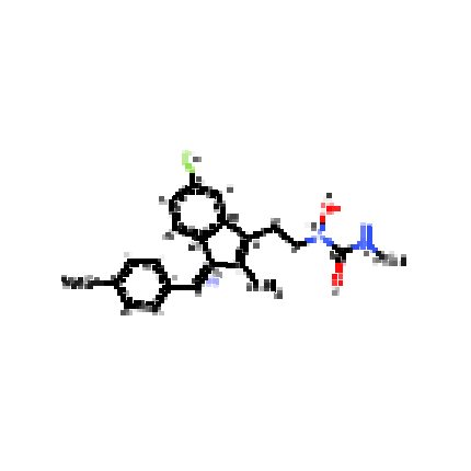 CSc1ccc(/C=C2/C(C)=C(CCN(O)C(=O)NC(C)(C)C)c3cc(F)ccc32)cc1